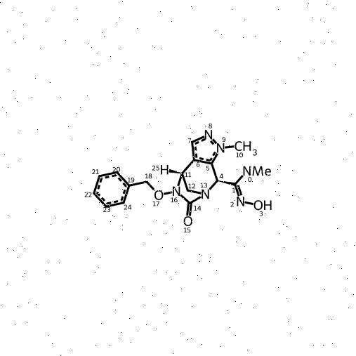 CN/C(=N\O)[C@@H]1c2c(cnn2C)[C@@H]2CN1C(=O)N2OCc1ccccc1